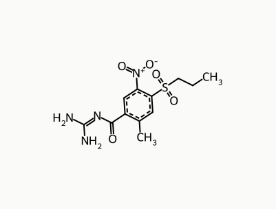 CCCS(=O)(=O)c1cc(C)c(C(=O)N=C(N)N)cc1[N+](=O)[O-]